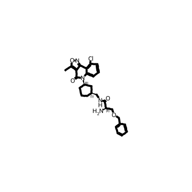 Cc1onc2c1c(=O)n([C@@H]1CCC[C@H](CNC(=O)[C@H](N)COCc3ccccc3)C1)c1cccc(Cl)c21